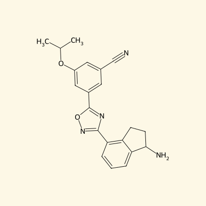 CC(C)Oc1cc(C#N)cc(-c2nc(-c3cccc4c3CCC4N)no2)c1